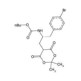 CCCCOC(=O)N[C@H](Cc1ccc(Br)cc1)CC1C(=O)OC(C)(C)OC1=O